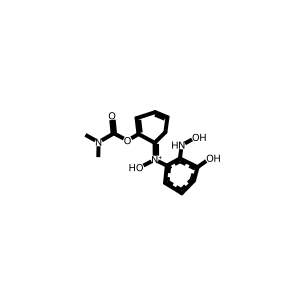 CN(C)C(=O)OC1=CC=CC/C1=[N+](/O)c1cccc(O)c1NO